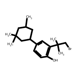 CC1CC(c2ccc(O)c(C(C)(C)CBr)c2)CC(C)(C)C1